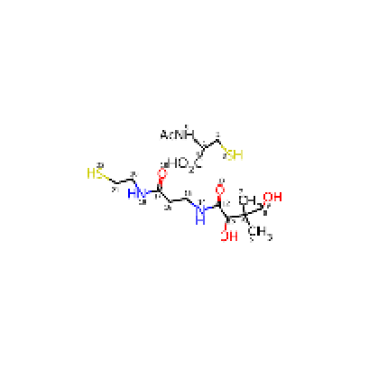 CC(=O)N[C@@H](CS)C(=O)O.CC(C)(CO)C(O)C(=O)NCCC(=O)NCCS